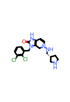 O=c1[nH]c2c(n1Cc1cccc(Cl)c1Cl)CN(NC[C@@H]1CCNC1)C=C2